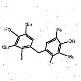 Cc1c(Cc2cc(C(C)(C)C)c(O)c(C(C)(C)C)c2C)cc(C(C)(C)C)c(O)c1C(C)(C)C